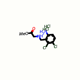 COC(=O)CNCc1c(N)ccc(Cl)c1Cl.Cl.Cl